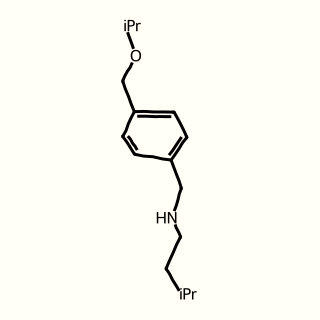 CC(C)CCNCc1ccc(COC(C)C)cc1